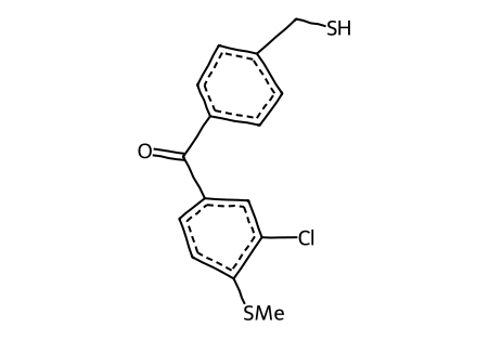 CSc1ccc(C(=O)c2ccc(CS)cc2)cc1Cl